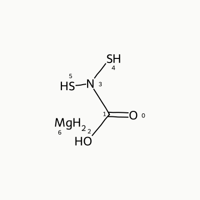 O=C(O)N(S)S.[MgH2]